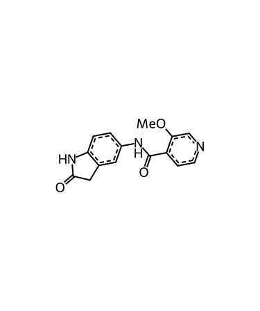 COc1cnccc1C(=O)Nc1ccc2c(c1)CC(=O)N2